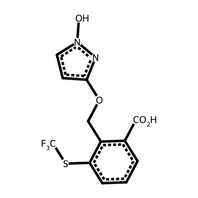 O=C(O)c1cccc(SC(F)(F)F)c1COc1ccn(O)n1